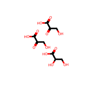 O=C(O)C(=O)CO.O=C(O)C(=O)CO.O=C(O)C(O)CO